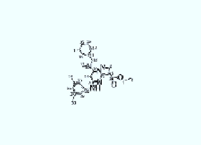 CCOC(=O)c1cnn2c(N(C)Cc3ccccc3)cc(Nc3cc(C)cc(C)c3)nc12